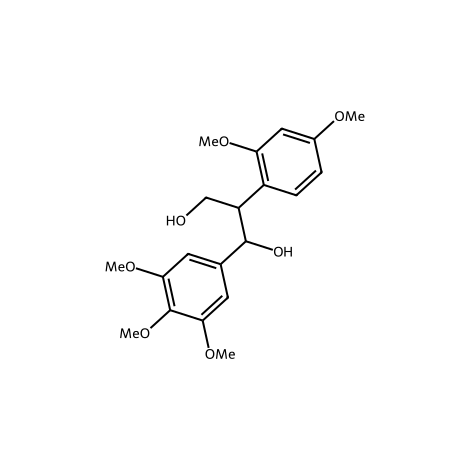 COc1ccc(C(CO)C(O)c2cc(OC)c(OC)c(OC)c2)c(OC)c1